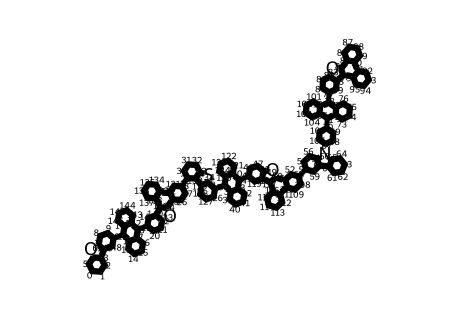 c1ccc2c(c1)oc1ccc(-c3c4ccccc4c(-c4ccc5oc6c7ccc(-c8cccc9sc%10c(-c%11c%12ccccc%12c(-c%12ccc%13oc%14c%15cc(-c%16ccc%17c(c%16)c%16ccccc%16n%17-c%16ccc(-c%17c%18ccccc%18c(-c%18ccc%19oc%20c%21ccccc%21c%21ccccc%21c%20c%19c%18)c%18ccccc%17%18)cc%16)ccc%15c%15ccccc%15c%14c%13c%12)c%12ccccc%11%12)cccc%10c89)cc7c7ccccc7c6c5c4)c4ccccc34)cc12